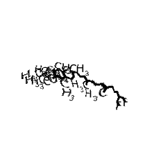 C/C(=C\CC/C(C)=C/CC[C@]1(C)CCc2c(C)c(O[Si](C)(C)C(C)(C)C)c(C)c(C)c2O1)CCC=C(CF)CF